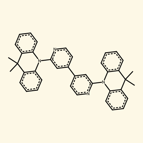 CC1(C)c2ccccc2N(c2cc(-c3ccnc(N4c5ccccc5C(C)(C)c5ccccc54)c3)ccn2)c2ccccc21